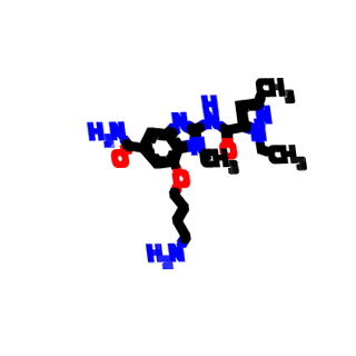 CCn1nc(C)cc1C(=O)Nc1nc2cc(C(N)=O)cc(OCCCCN)c2n1C